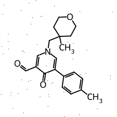 Cc1ccc(-c2cn(CC3(C)CCOCC3)cc(C=O)c2=O)cc1